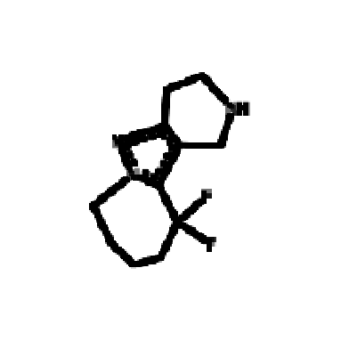 FC1(F)CCCCn2nc3c(c21)CNCC3